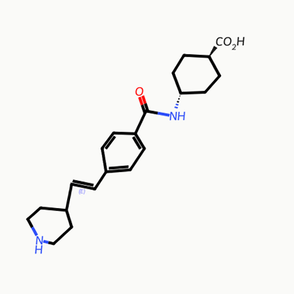 O=C(N[C@H]1CC[C@H](C(=O)O)CC1)c1ccc(/C=C/C2CCNCC2)cc1